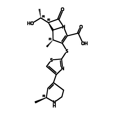 C[C@H]1C=C(c2csc(SC3=C(C(=O)O)N4C(=O)[C@H]([C@@H](C)O)C4[C@H]3C)n2)CCN1